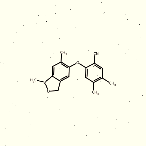 CB1OCc2cc(Oc3cc(C)c(C)cc3C#N)c(C)cc21